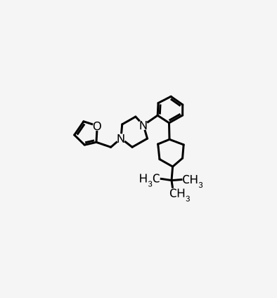 CC(C)(C)C1CCC(c2ccccc2N2CCN(Cc3ccco3)CC2)CC1